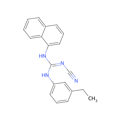 CCc1cccc(NC(=NC#N)Nc2cccc3ccccc23)c1